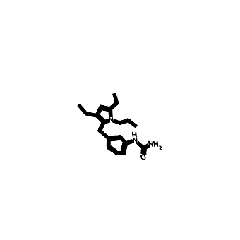 CCCn1c(CC)cc(CC)c1Cc1cccc(NC(N)=O)c1